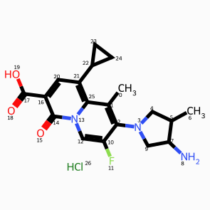 Cc1c(N2CC(C)C(N)C2)c(F)cn2c(=O)c(C(=O)O)cc(C3CC3)c12.Cl